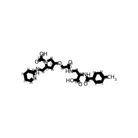 Cc1ccc(C(=O)NC(CNC(=O)COC2CC(CNc3ccccn3)N(C(=O)O)C2)C(=O)O)cc1